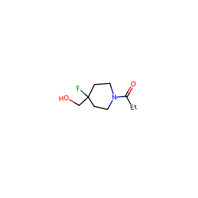 CCC(=O)N1CCC(F)(CO)CC1